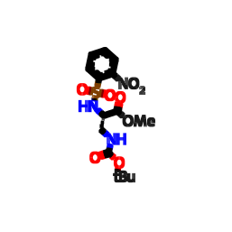 COC(=O)[C@H](CNC(=O)OC(C)(C)C)NS(=O)(=O)c1ccccc1[N+](=O)[O-]